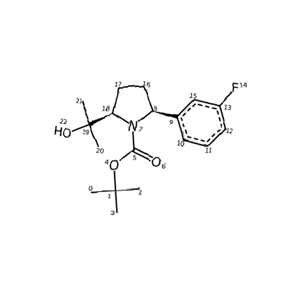 CC(C)(C)OC(=O)N1[C@H](c2cccc(F)c2)CC[C@@H]1C(C)(C)O